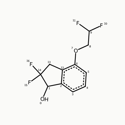 OC1c2cccc(OCC(F)F)c2CC1(F)F